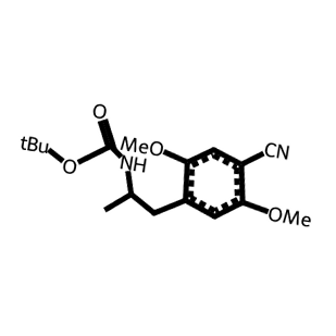 COc1cc(CC(C)NC(=O)OC(C)(C)C)c(OC)cc1C#N